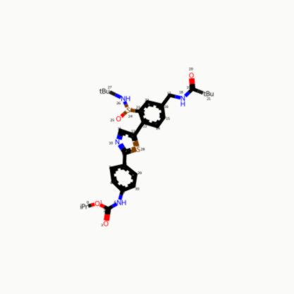 CC(C)OC(=O)Nc1ccc(-c2ncc(-c3ccc(CNC(=O)C(C)(C)C)cc3[S+]([O-])NC(C)(C)C)s2)cc1